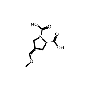 CO/C=C1\C[C@@H](C(=O)O)N(C(=O)O)C1